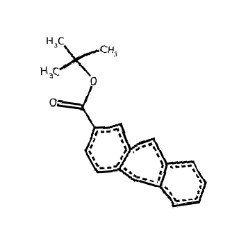 CC(C)(C)OC(=O)c1ccc2cc3ccccc3cc2c1